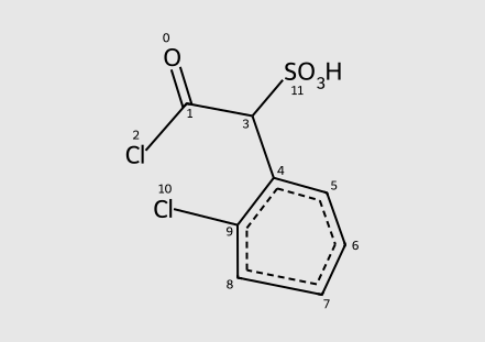 O=C(Cl)C(c1ccccc1Cl)S(=O)(=O)O